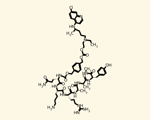 CCN(CCCC(C)Nc1ccnc2cc(Cl)ccc12)CCOC(=O)OCc1ccc(COC(=O)N[C@@H](CCC(N)=O)C(=O)N[C@@H](CCCCN)C(=O)N[C@@H](CCCNC(=N)N)C(=O)N[C@@H](C)C(=O)N[C@@H](C)C(=O)N[C@@H](Cc2ccc(O)cc2)C(=O)NC)cc1